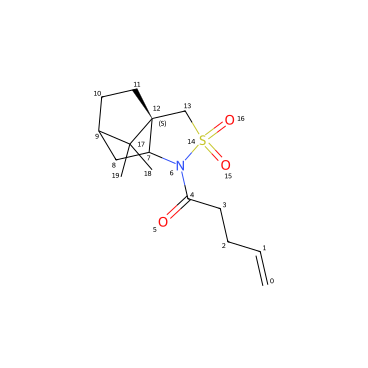 C=CCCC(=O)N1C2CC3CC[C@]2(CS1(=O)=O)C3(C)C